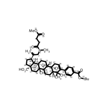 C=C(CN(C)C(=O)CCC(=O)OC)[C@@H]1CC[C@]2(C(=O)O)CC[C@]3(C)[C@H](CC[C@@H]4[C@@]5(C)CC=C(c6ccc(C(=O)OC(C)(C)C)cc6)C(C)(C)[C@@H]5CC[C@]43C)[C@@H]12